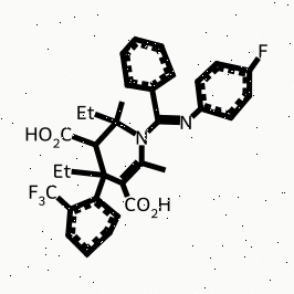 CCC1(c2ccccc2C(F)(F)F)C(C(=O)O)=C(C)N(C(=Nc2ccc(F)cc2)c2ccccc2)C(C)(CC)C1C(=O)O